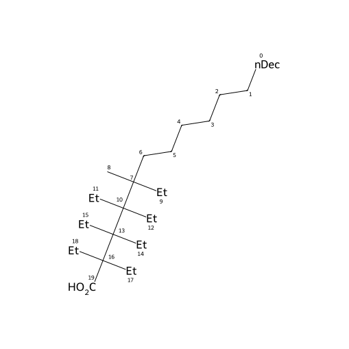 CCCCCCCCCCCCCCCCC(C)(CC)C(CC)(CC)C(CC)(CC)C(CC)(CC)C(=O)O